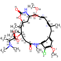 COc1cc2cc(c1Cl)N(C)C(=O)C[C@H](OC(=O)[C@H](C)N(C)C)[C@](C)(OC)C(C)[C@@H]1C[C@@](O)(NC(=O)O1)[C@H](OC)/C=C/C=C(\C)C2